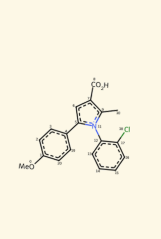 COc1ccc(-c2cc(C(=O)O)c(C)n2-c2ccccc2Cl)cc1